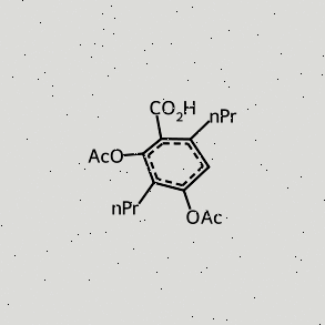 CCCc1cc(OC(C)=O)c(CCC)c(OC(C)=O)c1C(=O)O